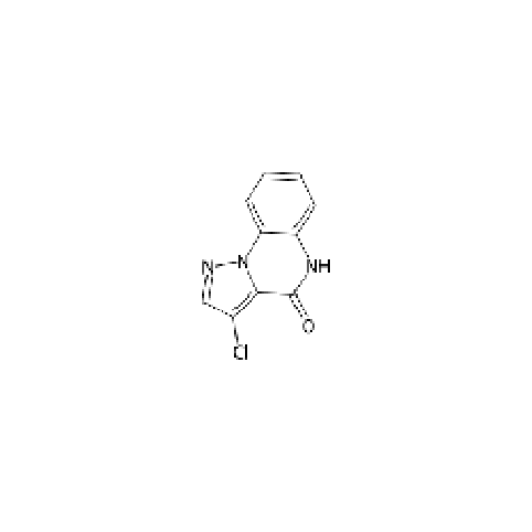 O=c1[nH]c2ccccc2n2ncc(Cl)c12